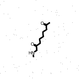 CNCC(=O)CCCCCC(C)=O